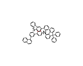 c1ccc(C2(c3ccccc3)c3ccccc3-c3c(N(c4ccc(-c5cccc(-c6cccc7ccccc67)c5)cc4)c4ccccc4-c4ccc5sc6ccccc6c5c4)cccc32)cc1